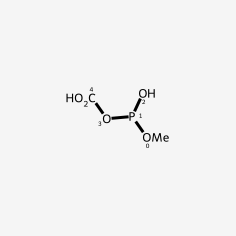 COP(O)OC(=O)O